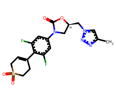 Cc1cn(C[C@H]2CN(c3cc(F)c(C4=CCS(=O)(=O)CC4)c(F)c3)C(=O)O2)nn1